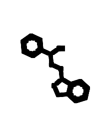 OB(OOB1OCc2ccccc21)c1ccccc1